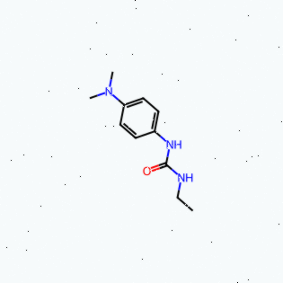 CCNC(=O)Nc1ccc(N(C)C)cc1